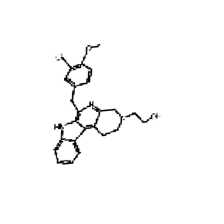 COc1ccc(Cc2nc3c(c4c2[nH]c2ccccc24)CCN(CCO)C3)cc1Cl